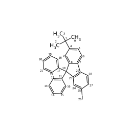 CC(C)(C)c1ccc2c(c1)C(c1ccccc1)(c1ccccc1)c1cc(I)ccc1-2